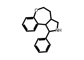 c1ccc(C2NCC3CCOc4ccccc4C32)cc1